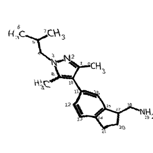 Cc1nn(CC(C)C)c(C)c1-c1ccc2c(c1)C(CN)CC2